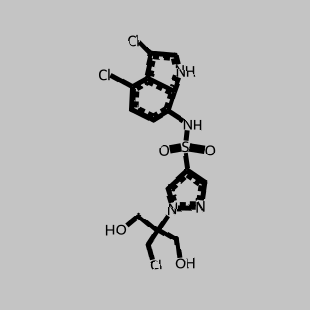 O=S(=O)(Nc1ccc(Cl)c2c(Cl)c[nH]c12)c1cnn(C(CO)(CO)CCl)c1